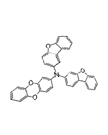 c1ccc2c(c1)Oc1ccc(N(c3ccc4c(c3)oc3ccccc34)c3ccc4oc5ccccc5c4c3)cc1O2